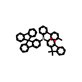 Cc1ccc(-c2ccccc2N(c2ccc3c(c2)C(C)(C)c2ccccc2-3)c2ccc3c(c2)C2(c4ccccc4-c4ccccc42)c2ccccc2-3)cc1